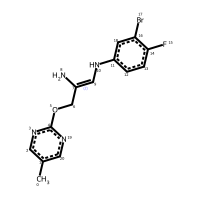 Cc1cnc(OC/C(N)=C/Nc2ccc(F)c(Br)c2)nc1